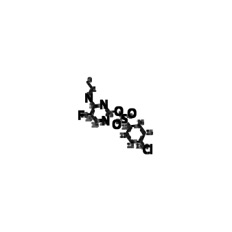 C/C=N/c1nc(OS(=O)(=O)c2ccc(Cl)cc2)ncc1F